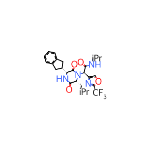 CC(C)C[C@@H]1C(=O)N[C@H](C2Cc3ccccc3C2)C(=O)N1[C@@H](C(=O)NC(C)C)c1coc(C(F)(F)F)n1